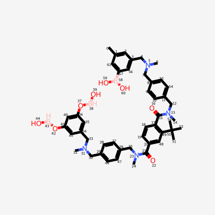 Cc1cc(CN(C)Cc2ccc(CN(C)C(=O)c3ccc(C(=O)N(C)Cc4ccc(CN(C)Cc5cc(OBO)cc(OBO)c5)cc4)cc3C(C)(C)C)cc2)cc(B(O)O)c1